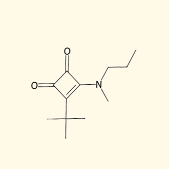 CCCN(C)c1c(C(C)(C)C)c(=O)c1=O